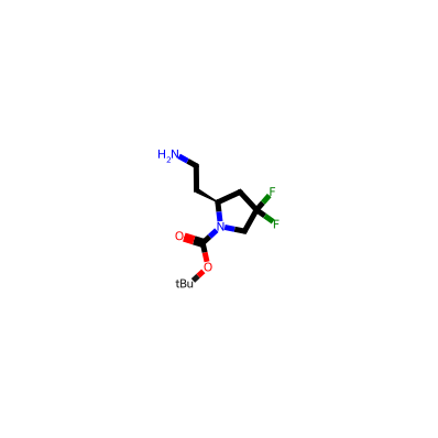 CC(C)(C)OC(=O)N1CC(F)(F)C[C@@H]1CCN